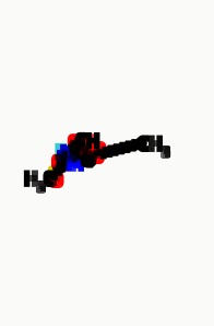 C#C[C@]1(COC(=O)c2ccccc2COC(=O)CCCCCCCCCCCCCCC)O[C@@H](n2cnc3c(NC(=O)CCCSC(C)=O)nc(F)nc32)C[C@@H]1O